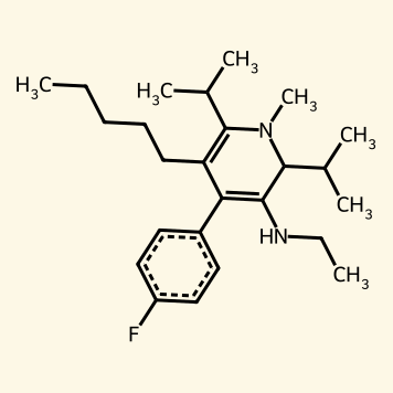 CCCCCC1=C(C(C)C)N(C)C(C(C)C)C(NCC)=C1c1ccc(F)cc1